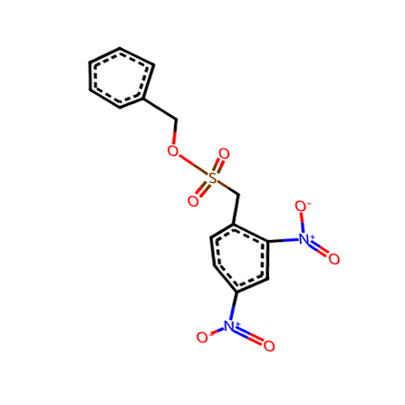 O=[N+]([O-])c1ccc(CS(=O)(=O)OCc2ccccc2)c([N+](=O)[O-])c1